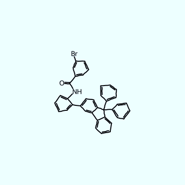 O=C(Nc1ccccc1-c1ccc2c(c1)-c1ccccc1C2(c1ccccc1)c1ccccc1)c1cccc(Br)c1